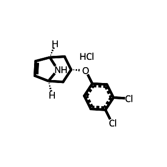 Cl.Clc1ccc(O[C@@H]2C[C@H]3C=C[C@@H](C2)N3)cc1Cl